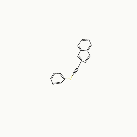 C(#Cc1ccc2ccccc2c1)Sc1ccccc1